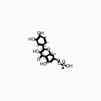 CP(=O)(O)OOc1cc(O)c2c(=O)c(O)c(-c3ccc(O)c(O)c3)oc2c1